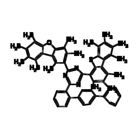 Bc1c(B)c(B)c2c(oc3c(B)c(B)c(-c4nc(-c5ccccc5-c5ccc(-c6ccccc6)cc5)nc(-c5c(B)c(B)c(B)c6c5sc5c(B)c(B)c(B)c(B)c56)n4)c(B)c32)c1B